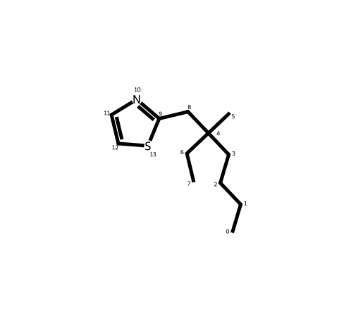 CCCCC(C)(CC)Cc1nccs1